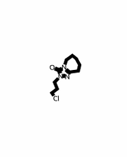 O=c1n(CCCCl)nc2n1CCCCC2